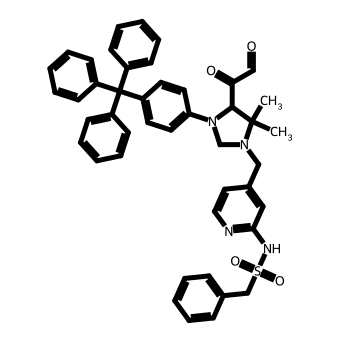 CC1(C)C(C(=O)C=O)N(c2ccc(C(c3ccccc3)(c3ccccc3)c3ccccc3)cc2)CN1Cc1ccnc(NS(=O)(=O)Cc2ccccc2)c1